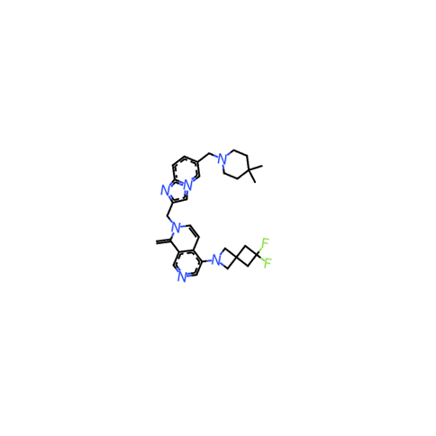 C=C1c2cncc(N3CC4(C3)CC(F)(F)C4)c2C=CN1Cc1cn2cc(CN3CCC(C)(C)CC3)ccc2n1